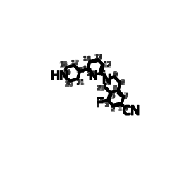 N#Cc1cc(F)c2c(c1)CCN(c1cccc(C3CCNCC3)n1)C2